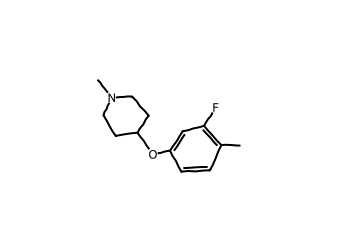 Cc1ccc(OC2CCN(C)CC2)cc1F